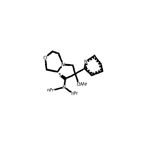 CCCN(CCC)C(=S)C(CN1CCOCC1)(OC)c1ccccn1